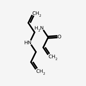 C=CC(N)=O.C=CCNCC=C